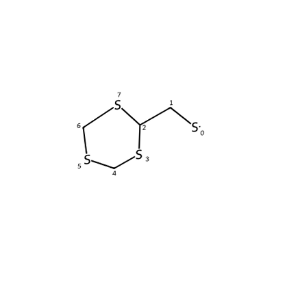 [S]CC1SCSCS1